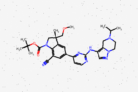 COC[C@@]1(C)CN(C(=O)OC(C)(C)C)c2c(C#N)cc(-c3ccnc(Nc4cnn5c4CN(C(C)C)CC5)n3)cc21